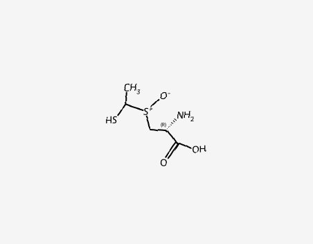 CC(S)[S+]([O-])C[C@H](N)C(=O)O